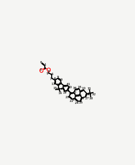 C=CC(=O)OCCCc1ccc2c(c1)C(C)(C)c1cc(-c3ccc4ccc5cc(C(C)(C)C)cc6ccc3c4c56)ccc1-2